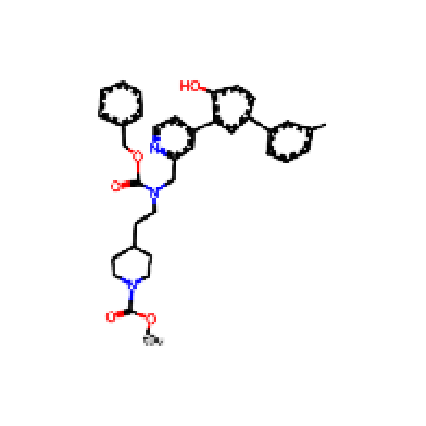 Cc1cccc(-c2ccc(O)c(-c3ccnc(CN(CCC4CCN(C(=O)OC(C)(C)C)CC4)C(=O)OCc4ccccc4)c3)c2)c1